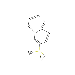 CS1(c2ccc3ccccc3c2)CC1